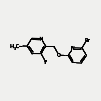 Cc1cnc(COc2cccc(Br)n2)c(F)c1